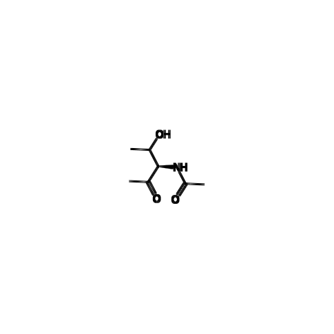 CC(=O)N[C@@H](C(C)=O)C(C)O